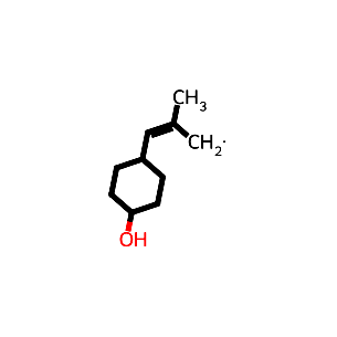 [CH2]/C(C)=C\C1CCC(O)CC1